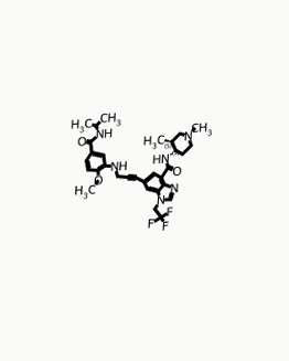 COc1ccc(C(=O)NC(C)C)cc1NCC#Cc1cc(C(=O)N[C@H]2CCN(C)C[C@@H]2C)c2ncn(CC(F)(F)F)c2c1